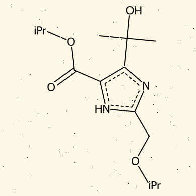 CC(C)OCc1nc(C(C)(C)O)c(C(=O)OC(C)C)[nH]1